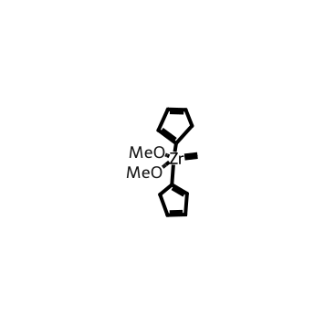 [CH2]=[Zr]([O]C)([O]C)([C]1=CC=CC1)[C]1=CC=CC1